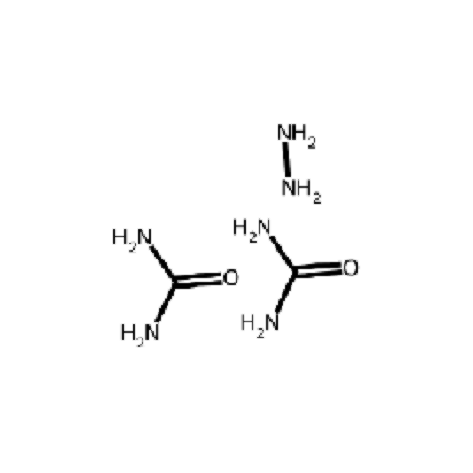 NC(N)=O.NC(N)=O.NN